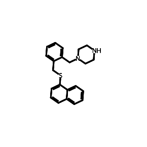 c1ccc(CN2CCNCC2)c(CSc2cccc3ccccc23)c1